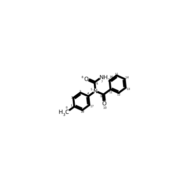 Cc1ccc(N(C(N)=O)C(=O)c2ccccc2)cc1